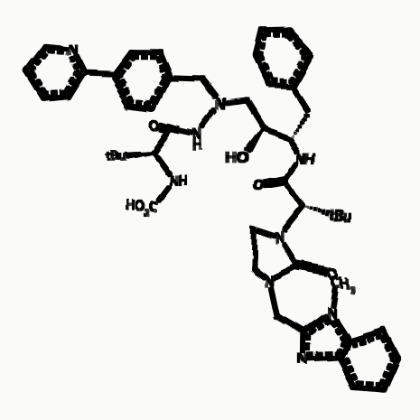 Cn1c(CN2CCN([C@H](C(=O)N[C@@H](Cc3ccccc3)[C@@H](O)CN(Cc3ccc(-c4ccccn4)cc3)NC(=O)[C@@H](NC(=O)O)C(C)(C)C)C(C)(C)C)C2=O)nc2ccccc21